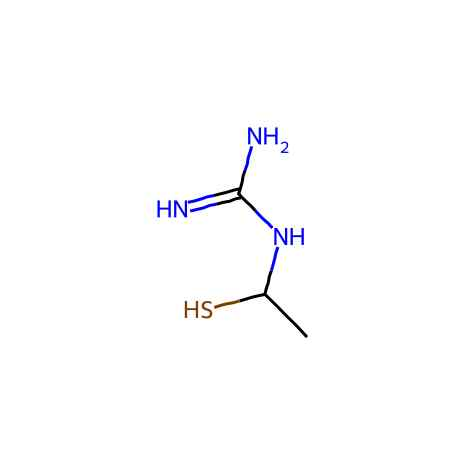 CC(S)NC(=N)N